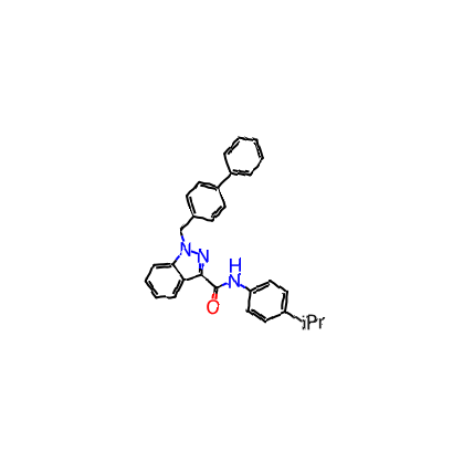 CC(C)c1ccc(NC(=O)c2nn(Cc3ccc(-c4ccccc4)cc3)c3ccccc23)cc1